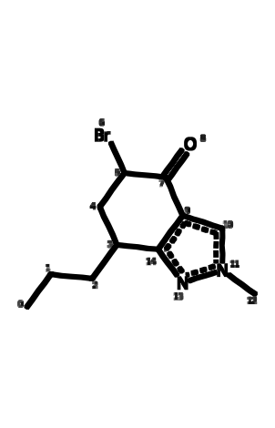 CCCC1CC(Br)C(=O)c2cn(C)nc21